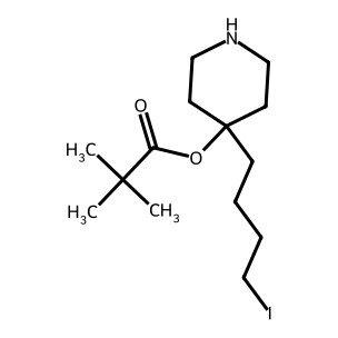 CC(C)(C)C(=O)OC1(CCCCI)CCNCC1